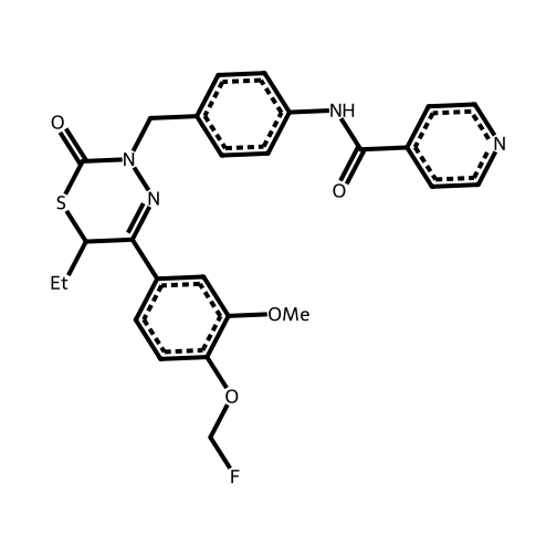 CCC1SC(=O)N(Cc2ccc(NC(=O)c3ccncc3)cc2)N=C1c1ccc(OCF)c(OC)c1